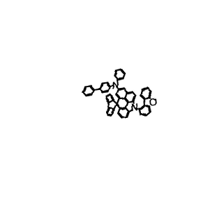 c1ccc(-c2ccc(N(c3ccccc3)c3cc4c5c(ccc6c5c5c(cccc5n6-c5cccc6oc7ccccc7c56)C45c4ccccc4-c4ccccc45)c3)cc2)cc1